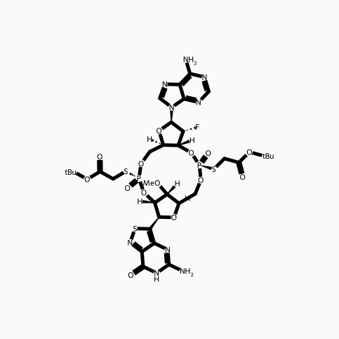 CO[C@H]1[C@H]2O[P@](=O)(SCC(=O)OC(C)(C)C)OC[C@H]3O[C@@H](n4cnc5c(N)ncnc54)[C@H](F)[C@@H]3O[P@@](=O)(SCC(=O)OC(C)(C)C)OC[C@H]1O[C@H]2c1snc2c(=O)[nH]c(N)nc12